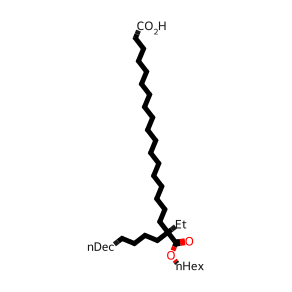 CCCCCCCCCCCCCCC(CC)(CCCCCCCCCCCCCCCCCC(=O)O)C(=O)OCCCCCC